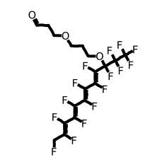 O=CCCOCCCOC(F)(/C(F)=C(F)/C(F)=C(F)/C(F)=C(F)/C(F)=C(\F)CF)C(F)(F)C(F)(F)F